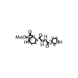 CON1C(=O)N2C[C@H]1CC[C@H]2C(=O)NNC(=O)[C@@H]1CCNC1